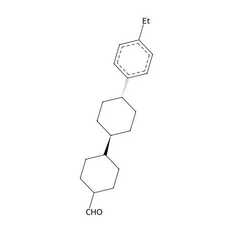 CCc1ccc([C@H]2CC[C@H](C3CCC(C=O)CC3)CC2)cc1